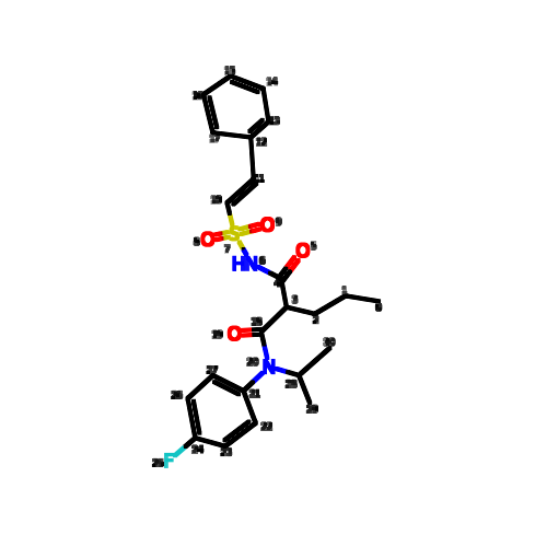 CCCC(C(=O)NS(=O)(=O)/C=C/c1ccccc1)C(=O)N(c1ccc(F)cc1)C(C)C